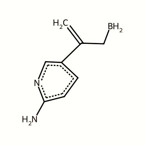 BCC(=C)c1ccc(N)nc1